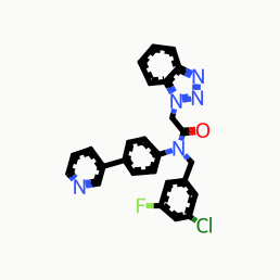 O=C(Cn1nnc2ccccc21)N(Cc1cc(F)cc(Cl)c1)c1ccc(-c2cccnc2)cc1